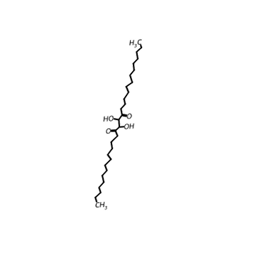 CCCCCCCCCCCCCC(=O)C(O)C(O)C(=O)CCCCCCCCCCCCC